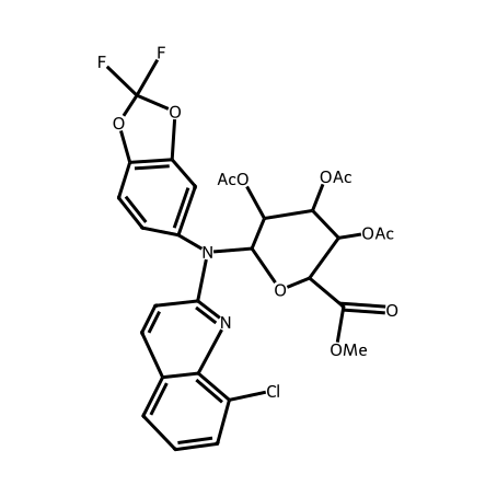 COC(=O)C1OC(N(c2ccc3c(c2)OC(F)(F)O3)c2ccc3cccc(Cl)c3n2)C(OC(C)=O)C(OC(C)=O)C1OC(C)=O